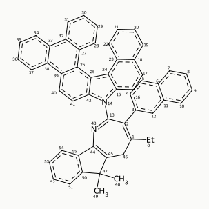 CCC1=C(c2ccc3ccccc3c2)C(n2c3ccc4ccccc4c3c3c4c5ccccc5c5ccccc5c4ccc32)=NC2=C(C1)C(C)(C)c1ccccc12